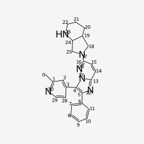 Cc1cc(-c2c(-c3ccccc3)nc3ccc(N4CC5CCCNC5C4)nn23)ccn1